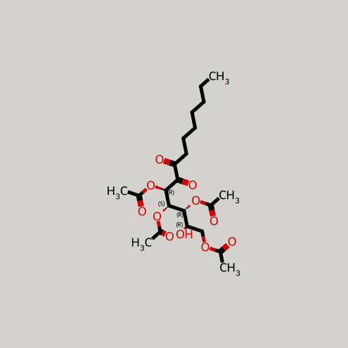 CCCCCCCC(=O)C(=O)[C@H](OC(C)=O)[C@@H](OC(C)=O)[C@H](OC(C)=O)[C@H](O)COC(C)=O